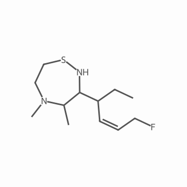 CCC(/C=C\CF)C1NSCCN(C)C1C